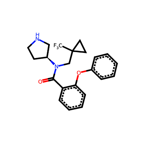 O=C(c1ccccc1Oc1ccccc1)N(CC1(C(F)(F)F)CC1)[C@H]1CCNC1